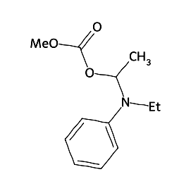 CCN(c1ccccc1)C(C)OC(=O)OC